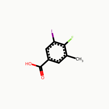 Cc1cc(C(=O)O)cc(I)c1F